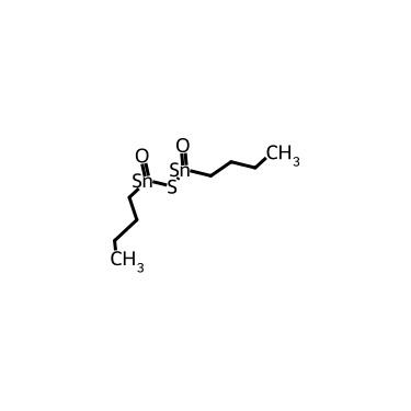 CCC[CH2][Sn](=[O])[S][Sn](=[O])[CH2]CCC